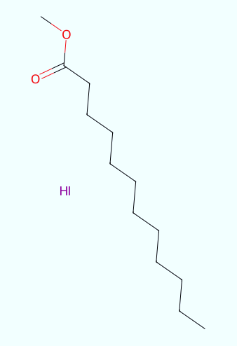 CCCCCCCCCCCC(=O)OC.I